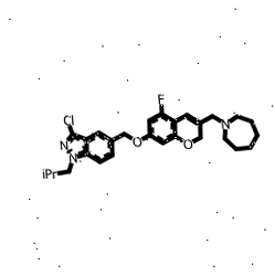 CC(C)Cn1nc(Cl)c2cc(COc3cc(F)c4c(c3)OCC(CN3CCCCCC3)=C4)ccc21